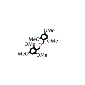 COc1cc(OC)c(COCc2c(OC)cc(OC)cc2OC)c(OC)c1